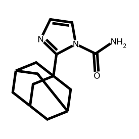 NC(=O)n1ccnc1C12CC3CC(CC(C3)C1)C2